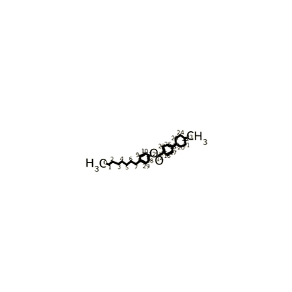 CCCCCCCCc1ccc(OC(=O)c2ccc(C3CCC(C)CC3)cc2)cc1